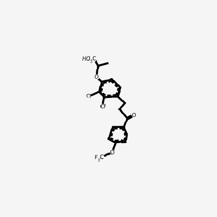 CC(Oc1ccc(CCC(=O)c2ccc(OC(F)(F)F)cc2)c(Cl)c1Cl)C(=O)O